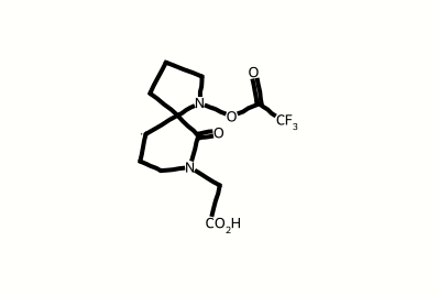 O=C(O)CN1CC[CH]C2(CCCN2OC(=O)C(F)(F)F)C1=O